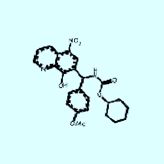 COc1ccc(C(NC(=O)OC2CCCCC2)c2cc([N+](=O)[O-])c3cccnc3c2O)cc1